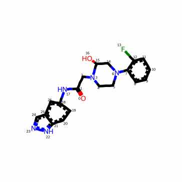 O=C(CN1CCN(c2ccccc2F)CC1O)Nc1ccc2[nH]ncc2c1